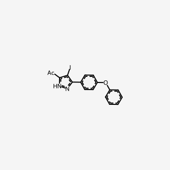 CC(=O)c1[nH]nc(-c2ccc(Oc3ccccc3)cc2)c1I